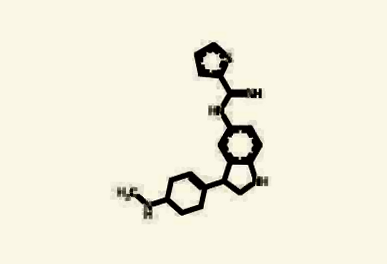 CNC1CC=C(C2CNc3ccc(NC(=N)c4cccs4)cc32)CC1